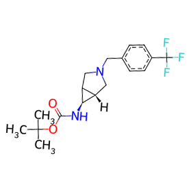 CC(C)(C)OC(=O)N[C@H]1C2CN(Cc3ccc(C(F)(F)F)cc3)C[C@@H]21